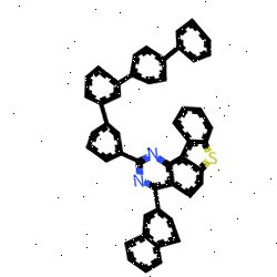 c1ccc(-c2ccc(-c3cccc(-c4cccc(-c5nc(-c6ccc7ccccc7c6)c6ccc7sc8ccccc8c7c6n5)c4)c3)cc2)cc1